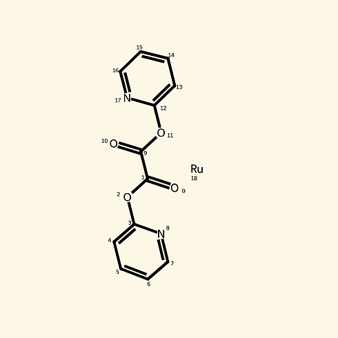 O=C(Oc1ccccn1)C(=O)Oc1ccccn1.[Ru]